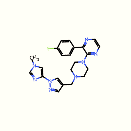 Cn1cnc(-n2cc(CN3CCN(c4nccnc4-c4ccc(F)cc4)CC3)cn2)c1